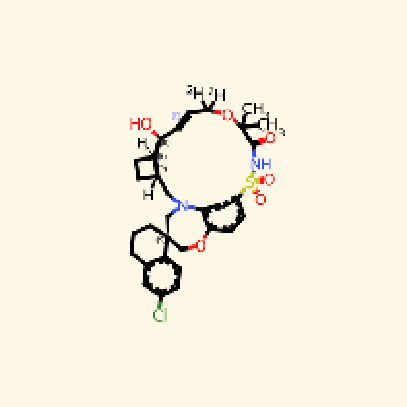 [2H]C1([2H])/C=C/[C@H](O)[C@@H]2CC[C@H]2CN2C[C@@]3(CCCc4cc(Cl)ccc43)COc3ccc(cc32)S(=O)(=O)NC(=O)C(C)(C)O1